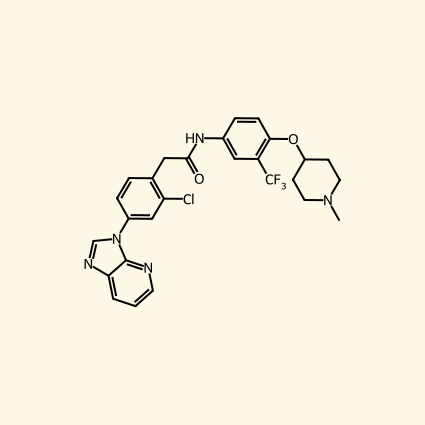 CN1CCC(Oc2ccc(NC(=O)Cc3ccc(-n4cnc5cccnc54)cc3Cl)cc2C(F)(F)F)CC1